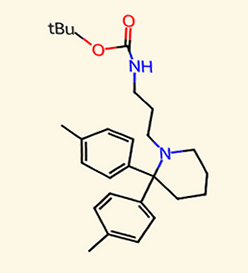 Cc1ccc(C2(c3ccc(C)cc3)CCCCN2CCCNC(=O)OC(C)(C)C)cc1